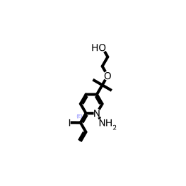 C=C/C(I)=C1/C=CC(C(C)(C)OCCO)=CN1N